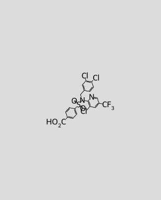 O=C(O)c1ccc(S(=O)(=O)N(Cc2ccc(Cl)c(Cl)c2)c2ncc(C(F)(F)F)cc2Cl)cc1